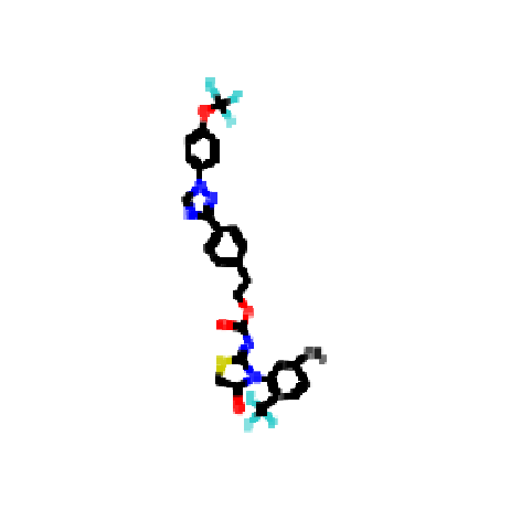 Cc1ccc(C(F)(F)F)c(N2C(=O)CS/C2=N\C(=O)OCCc2ccc(-c3ncn(-c4ccc(OC(F)(F)F)cc4)n3)cc2)c1